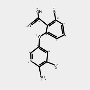 Nc1ncc(Oc2cccc(Br)c2C(=O)O)cc1Br